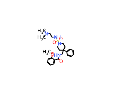 COc1ccccc1C(=O)NCC1(c2ccccc2)CCN(S(=O)(=O)NCCN(C)C)CC1